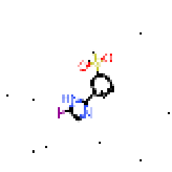 CS(=O)(=O)c1cccc(-c2ncc(I)[nH]2)c1